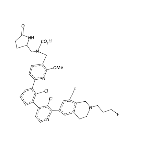 COc1nc(-c2cccc(-c3ccnc(-c4cc(F)c5c(c4)CCN(CCCF)C5)c3Cl)c2Cl)ccc1CN(CC1CCC(=O)N1)C(=O)O